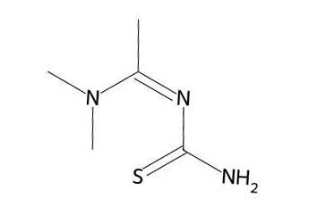 CC(=NC(N)=S)N(C)C